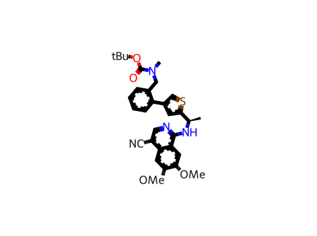 COc1cc2c(C#N)cnc(N[C@H](C)c3cc(-c4ccccc4CN(C)C(=O)OC(C)(C)C)cs3)c2cc1OC